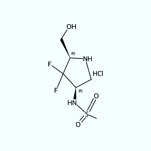 CS(=O)(=O)N[C@@H]1CN[C@H](CO)C1(F)F.Cl